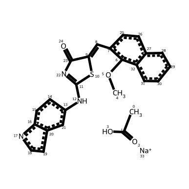 CC(=O)O.COc1c(C=C2SC(Nc3ccc4[n-]ccc4c3)=NC2=O)ccc2ccccc12.[Na+]